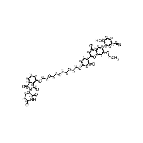 CCOc1cc2oc(-c3ccc(OCCOCCOCCOCCOc4cccc5c4C(=O)N(C4CCC(=O)NC4=O)C5=O)cc3Cl)cc(=O)c2cc1-c1cc(C#N)ccc1O